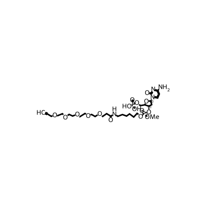 C#CCOCCOCCOCCOCCOCCC(=O)NCCCCCCOP(=O)(OC)O[C@@H]1C[C@H](n2ccc(N)nc2=O)OC1COP(=O)(O)O